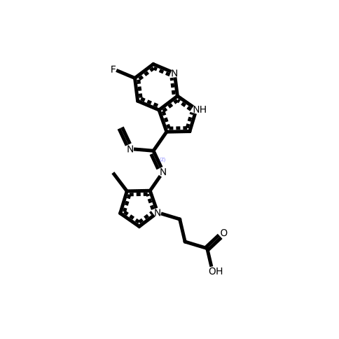 C=N/C(=N\c1c(C)ccn1CCC(=O)O)c1c[nH]c2ncc(F)cc12